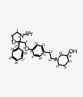 CC(C)N1CCOC1(COc1ccc(CCN2CCCC(O)C2)cc1)c1ccccc1